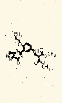 CCCOc1ccc(NC=C(C(=O)OC)C(=O)OC)cc1C1=NC(=O)C2=NN=NC2=N1